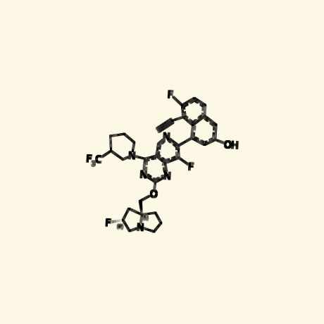 C#Cc1c(F)ccc2cc(O)cc(-c3ncc4c(N5CCCC(C(F)(F)F)C5)nc(OC[C@@]56CCCN5C[C@H](F)C6)nc4c3F)c12